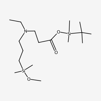 CCN(CCC[Si](C)(C)OC)CCC(=O)O[Si](C)(C)C(C)(C)C